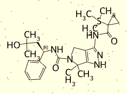 CC(C)(O)C[C@@H](NC(=O)N1Cc2c(NC(=O)C3(S(C)(C)C)CC3)n[nH]c2C1(C)C)c1ccccc1